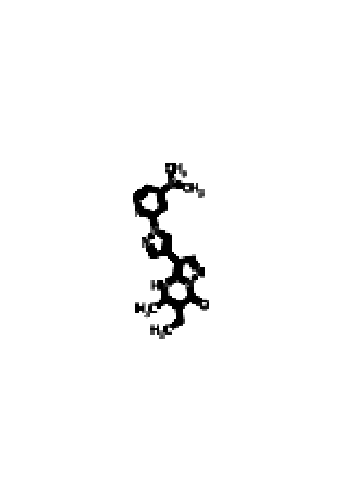 CCc1c(C)[nH]c2c(-c3cnn(-c4cc(N(C)C)ccn4)c3)cnn2c1=O